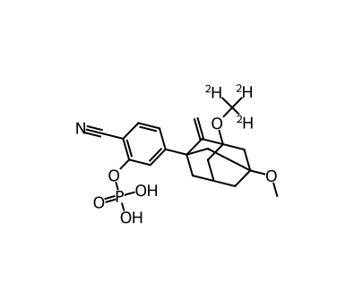 [2H]C([2H])([2H])OC12CC3CC(OC)(C1)CC(c1ccc(C#N)c(OP(=O)(O)O)c1)(C3)C2=C